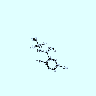 C[C@H](NS(=O)(=O)C(C)(C)C)c1cc(Cl)ccc1F